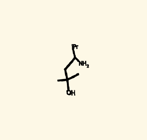 CC(C)C(N)CC(C)(C)O